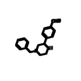 O=Cc1ccc(C2CN(Cc3ccccc3)CCN2)cc1